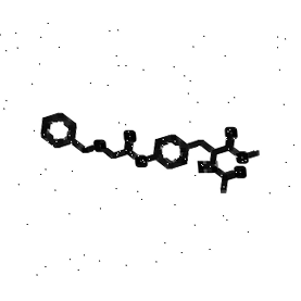 COC(=O)C(Cc1ccc(OC(=O)COCc2ccccc2)cc1)NC(C)=O